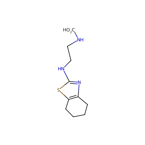 O=C(O)NCCNc1nc2c(s1)CCCC2